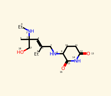 CCNC(C)(/C=C(\CC)CNC1CCC(=O)NC1=O)CO